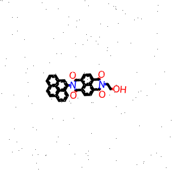 O=C1c2ccc3c4c(ccc(c24)C(=O)N1CCO)C(=O)N(c1cc2cccc4ccc5cccc1c5c42)C3=O